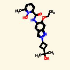 CCOc1cc2nn(C3CC(C(C)(C)O)C3)cc2cc1NC(=O)c1cccc(C)[n+]1O